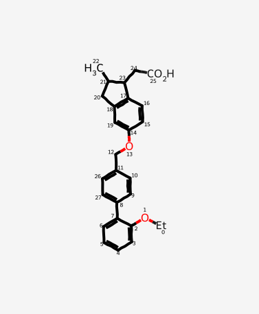 CCOc1ccccc1-c1ccc(COc2ccc3c(c2)CC(C)C3CC(=O)O)cc1